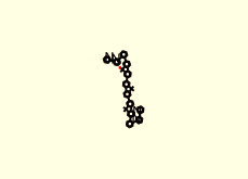 CC1(C)c2cc(-c3ccc4c(c3)C(C)(C)c3cc(-c5ccccc5-c5cccc(-c6ccccn6)n5)ccc3-4)ccc2-c2ccc(-c3ccc4c(c3)C(C)(C)c3cc(-c5ccccc5-c5cccc(-c6ccccn6)n5)ccc3-4)cc21